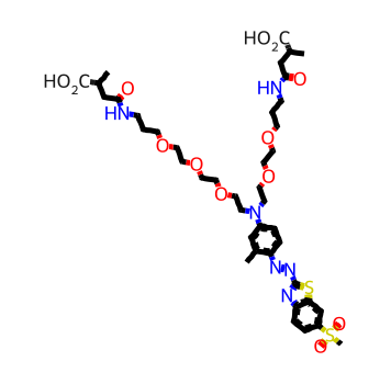 Cc1cc(N(CCOCCOCCCNC(=O)CC(C)C(=O)O)CCOCCOCCOCCCNC(=O)CC(C)C(=O)O)ccc1/N=N/c1nc2ccc(S(C)(=O)=O)cc2s1